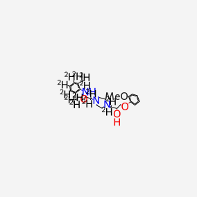 [2H]c1c([2H])c(C([2H])([2H])[2H])c(NC(=O)C([2H])([2H])N2CCN(C([2H])([2H])C(O)COc3ccccc3OC)CC2)c(C([2H])([2H])[2H])c1[2H]